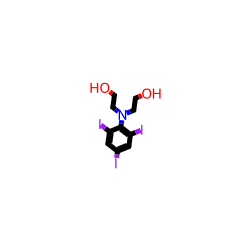 OCCN(CCO)c1c(I)cc(I)cc1I